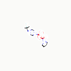 CC(C)(F)CN1CCN(C(=O)OC(=O)N2CCCC2)CC1